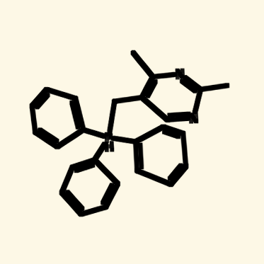 Cc1ncc(C[PH](c2ccccc2)(c2ccccc2)c2ccccc2)c(C)n1